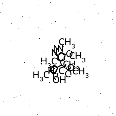 CCn1nnc2c(C)c(C(c3ccc(C)c(CO)c3)C(C)(C)C(=O)OC)cc(OC)c21